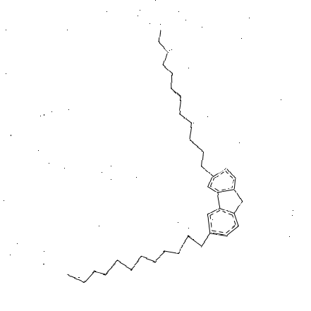 CCCCCCCCCCCCc1ccc2c(c1)-c1cc(CCCCCCCCCCCC)ccc1C2